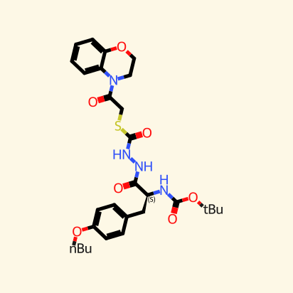 CCCCOc1ccc(C[C@H](NC(=O)OC(C)(C)C)C(=O)NNC(=O)SCC(=O)N2CCOc3ccccc32)cc1